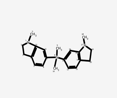 CN1CCc2ccc([Si](C)(C)c3ccc4c(c3)N(C)CC4)cc21